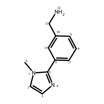 Cn1ccnc1-c1cccc(CN)c1